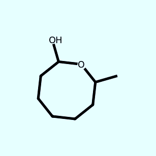 CC1CCCCCC(O)O1